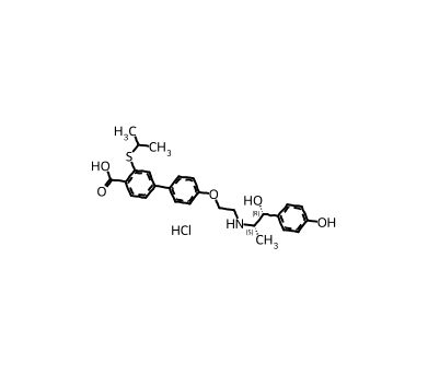 CC(C)Sc1cc(-c2ccc(OCCN[C@@H](C)[C@H](O)c3ccc(O)cc3)cc2)ccc1C(=O)O.Cl